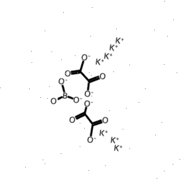 O=C([O-])C(=O)[O-].O=C([O-])C(=O)[O-].[K+].[K+].[K+].[K+].[K+].[K+].[K+].[O-]B([O-])[O-]